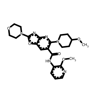 COc1ncccc1NC(=O)c1cc2oc(N3CCOCC3)nc2nc1N1CCC(OC)CC1